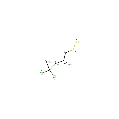 C[C@@H](CSS)[C@H]1CC1(Cl)Cl